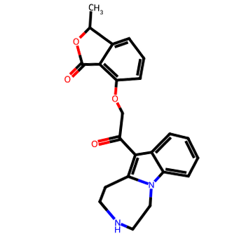 CC1OC(=O)c2c(OCC(=O)c3c4n(c5ccccc35)CCNCC4)cccc21